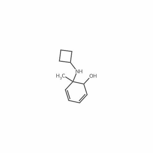 CC1(NC2CCC2)C=CC=CC1O